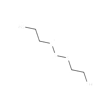 SCCSSSCCS